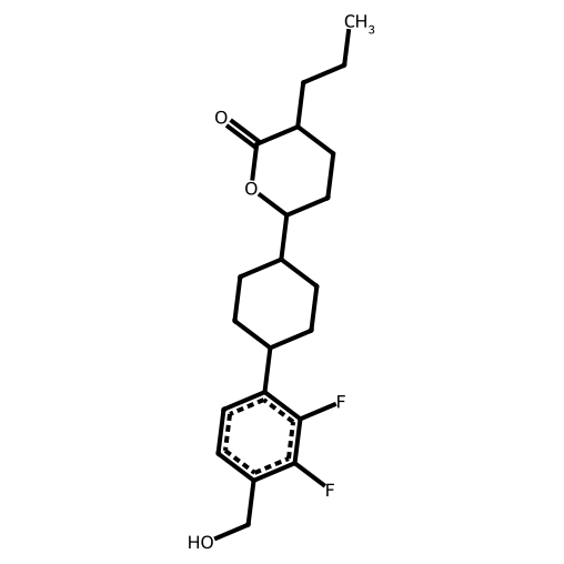 CCCC1CCC(C2CCC(c3ccc(CO)c(F)c3F)CC2)OC1=O